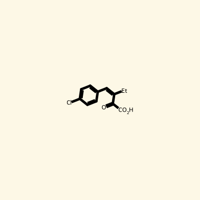 CCC(=Cc1ccc(Cl)cc1)C(=O)C(=O)O